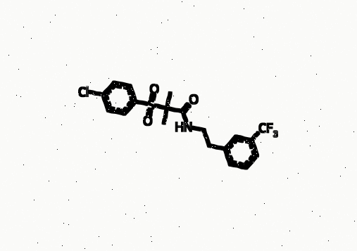 CC(C)(C(=O)NCCc1cccc(C(F)(F)F)c1)S(=O)(=O)c1ccc(Cl)cc1